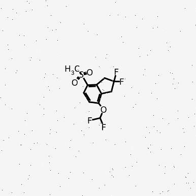 CS(=O)(=O)c1ccc(OC(F)F)c2c1CC(F)(F)C2